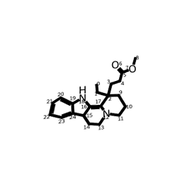 CCC1(CCC(=O)OC)CCCN2CCC3C(=C21)Nc1ccccc13